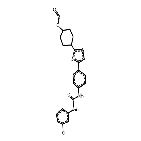 O=COC1CCC(c2ncc(-c3ccc(NC(=O)Nc4cccc(Cl)c4)cc3)s2)CC1